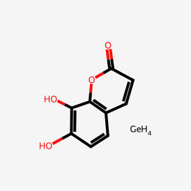 O=c1ccc2ccc(O)c(O)c2o1.[GeH4]